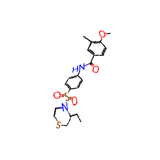 CCC1CSCCN1S(=O)(=O)c1ccc(NC(=O)c2ccc(OC)c(C)c2)cc1